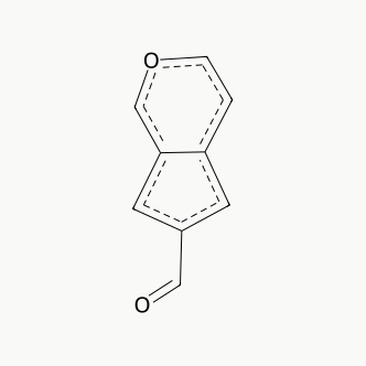 O=Cc1cc2ccocc-2c1